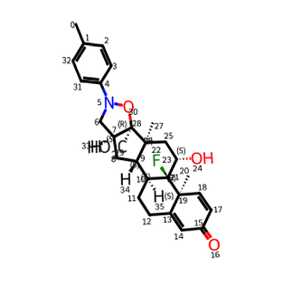 Cc1ccc(N2C[C@@H]3C[C@H]4[C@@H]5CCC6=CC(=O)C=C[C@]6(C)[C@@]5(F)[C@@H](O)C[C@]4(C)[C@]3(C(=O)O)O2)cc1